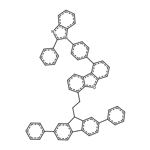 c1ccc(-c2ccc3c(c2)C(CCc2cccc4c2oc2cccc(-c5ccc(-n6c(-c7ccccc7)nc7ccccc76)cc5)c24)c2cc(-c4ccccc4)ccc2-3)cc1